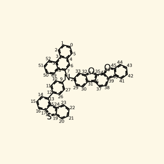 c1ccc2c(c1)cc(N(c1ccc(-c3cccc4sc5ccccc5c34)cc1)c1ccc3c(c1)oc1c3ccc3c4ccccc4oc31)c1ccccc12